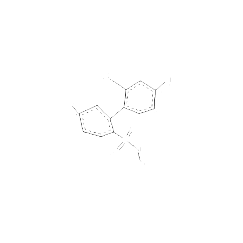 CCNS(=O)(=O)c1ccc(C)cc1-c1ccc(Cl)cc1[N+](=O)[O-]